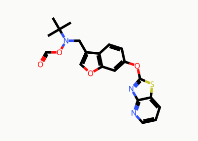 CC(C)(C)N(Cc1coc2cc(Oc3nc4ncccc4s3)ccc12)OC=O